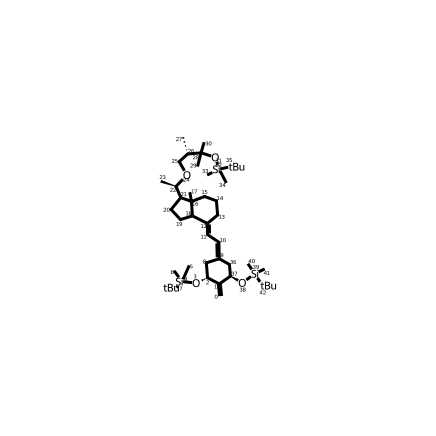 C=C1[C@H](O[Si](C)(C)C(C)(C)C)CC(=C/C=C2\CCCC3(C)C2CCC3[C@@H](C)OC[C@H](C)C(C)(C)O[Si](C)(C)C(C)(C)C)C[C@H]1O[Si](C)(C)C(C)(C)C